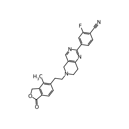 Cc1c(CCN2CCc3nc(-c4ccc(C#N)c(F)c4)ncc3C2)ccc2c1COC2=O